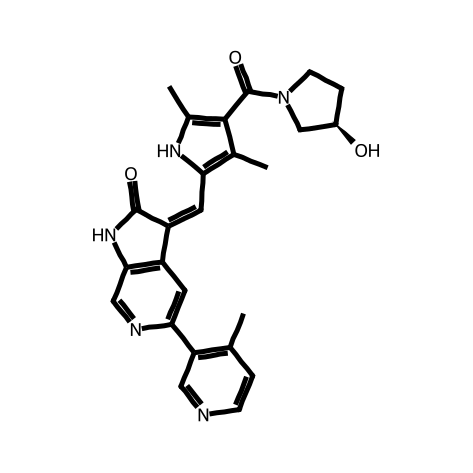 Cc1ccncc1-c1cc2c(cn1)NC(=O)/C2=C\c1[nH]c(C)c(C(=O)N2CC[C@@H](O)C2)c1C